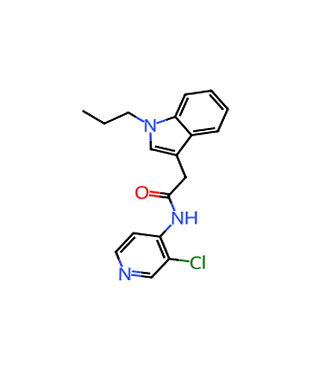 CCCn1cc(CC(=O)Nc2ccncc2Cl)c2ccccc21